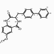 COc1ccc2c(c1)C(=O)NC(Cc1ccc(-c3cccnc3)cc1)C(=O)N2